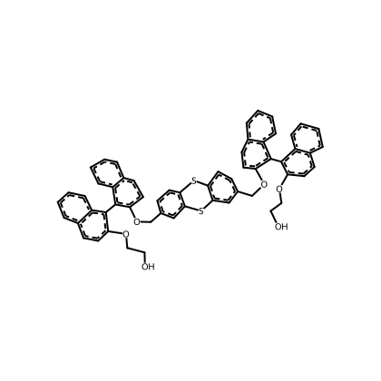 OCCOc1ccc2ccccc2c1-c1c(OCc2ccc3c(c2)Sc2cc(COc4ccc5ccccc5c4-c4c(OCCO)ccc5ccccc45)ccc2S3)ccc2ccccc12